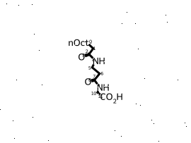 CCCCCCCCCC(=O)NCCC(=O)NCC(=O)O